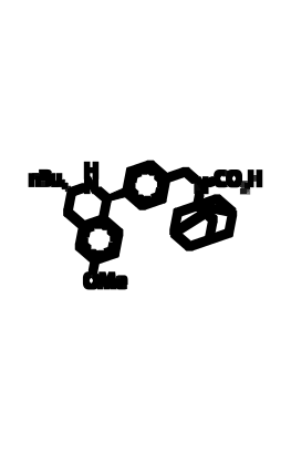 CCCC[C@H]1Cc2cc(OC)ccc2[C@H](c2ccc(CN(C(=O)O)C34CC5CC(CC(C5)C3)C4)cc2)N1